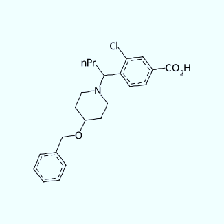 CCCC(c1ccc(C(=O)O)cc1Cl)N1CCC(OCc2ccccc2)CC1